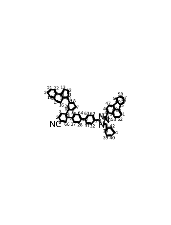 N#Cc1ccc(-c2cccc(-c3cccc4c3ccc3ccccc34)c2)c(-c2ccc(-c3ccc(-c4nc(-c5ccccc5)nc(-c5ccc6c7c(cccc57)-c5ccccc5-6)n4)cc3)cc2)c1